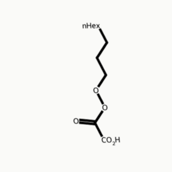 CCCCCCCCCOOC(=O)C(=O)O